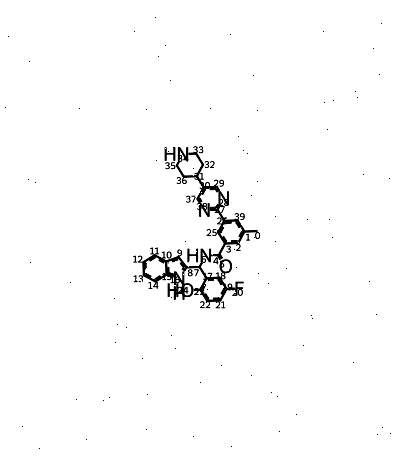 Cc1cc(C(=O)NC(c2cc3ccccc3[nH]2)c2cc(F)ccc2O)cc(-c2ncc(C3CCNCC3)cn2)c1